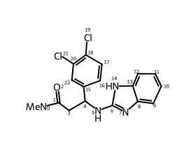 CNC(=O)CC(Nc1nc2ccccc2[nH]1)c1ccc(Cl)c(Cl)c1